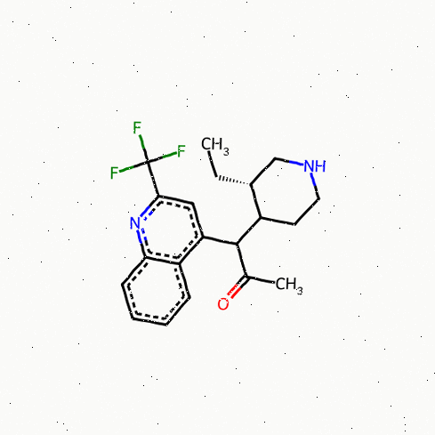 CC[C@@H]1CNCCC1C(C(C)=O)c1cc(C(F)(F)F)nc2ccccc12